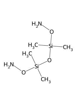 C[Si](C)(ON)O[Si](C)(C)ON